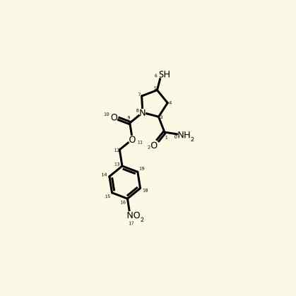 NC(=O)C1CC(S)CN1C(=O)OCc1ccc([N+](=O)[O-])cc1